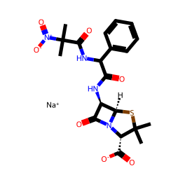 CC1(C)S[C@@H]2[C@H](NC(=O)C(NC(=O)C(C)(C)[N+](=O)[O-])c3ccccc3)C(=O)N2[C@H]1C(=O)[O-].[Na+]